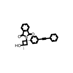 C[C@]1(O)C[C@@](c2ccc(C#Cc3ccccc3)cc2)(N2C(=O)c3ccccc3C2=O)C1